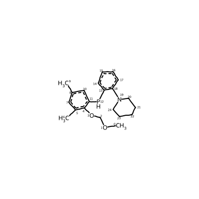 COCOc1c(C)cc(C)cc1Pc1ccccc1N1CCCCC1